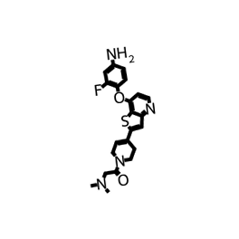 CN(C)CC(=O)N1CC=C(c2cc3nccc(Oc4ccc(N)cc4F)c3s2)CC1